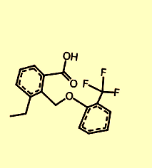 CCc1cccc(C(=O)O)c1COc1ccccc1C(F)(F)F